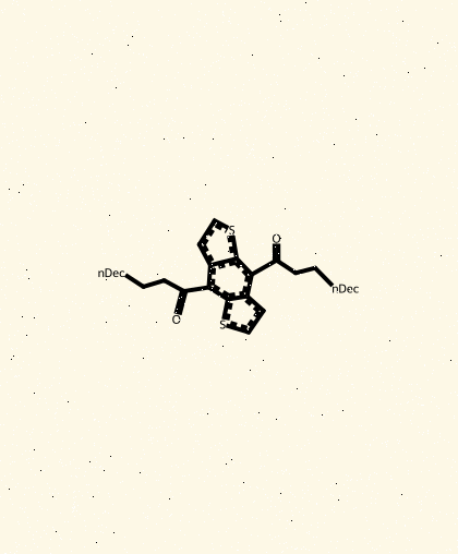 CCCCCCCCCCCCC(=O)c1c2ccsc2c(C(=O)CCCCCCCCCCCC)c2ccsc12